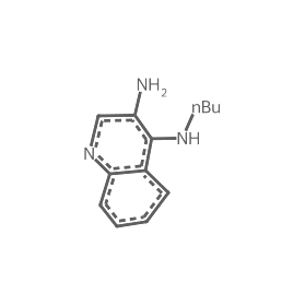 [CH2]CCCNc1c(N)cnc2ccccc12